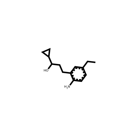 CCc1ccc(N)c(CCC(O)C2CC2)c1